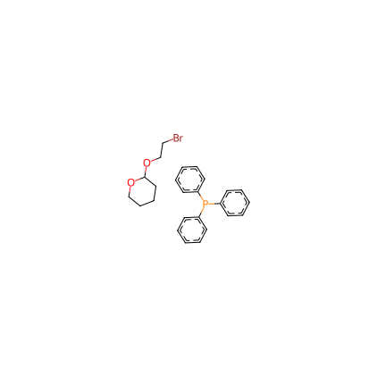 BrCCOC1CCCCO1.c1ccc(P(c2ccccc2)c2ccccc2)cc1